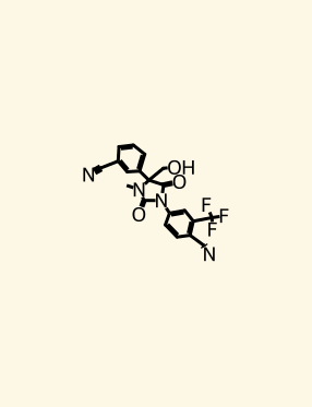 CN1C(=O)N(c2ccc(C#N)c(C(F)(F)F)c2)C(=O)C1(CO)c1cccc(C#N)c1